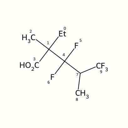 CCC(C)(C(=O)O)C(F)(F)C(C)C(F)(F)F